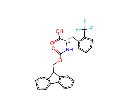 O=C(N[C@@H](Cc1ccccc1C(F)(F)F)C(=O)O)OCC1c2ccccc2-c2ccccc21